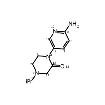 CC(C)N1CCN(c2ccc(N)nc2)C(=O)C1